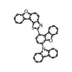 c1ccc2c(c1)oc1c(-n3c4ccccc4c4ccccc43)ccc(-c3nc4ccc5oc6ccccc6c5c4s3)c12